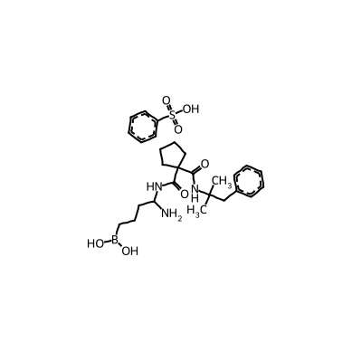 CC(C)(Cc1ccccc1)NC(=O)C1(C(=O)NC(N)CCCB(O)O)CCCC1.O=S(=O)(O)c1ccccc1